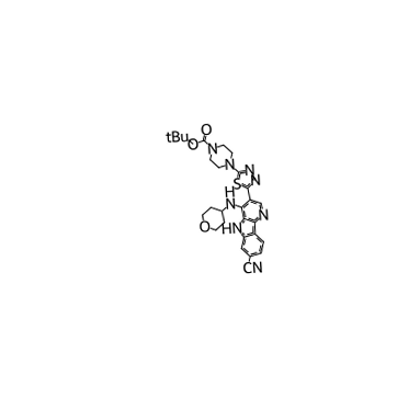 CC(C)(C)OC(=O)N1CCN(c2nnc(-c3cnc4c([nH]c5cc(C#N)ccc54)c3NC3CCOCC3)s2)CC1